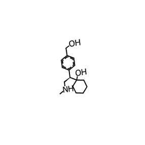 CNC[C@@H](c1ccc(CO)cc1)C1(O)CCCCC1